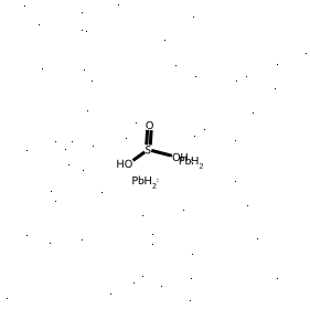 O=S(O)O.[PbH2].[PbH2]